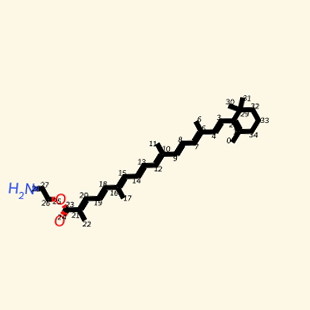 CC1=C(/C=C/C(C)=C/C=C/C(C)=C/C=C/C=C(C)/C=C/C=C(\C)C(=O)OCCN)C(C)(C)CCC1